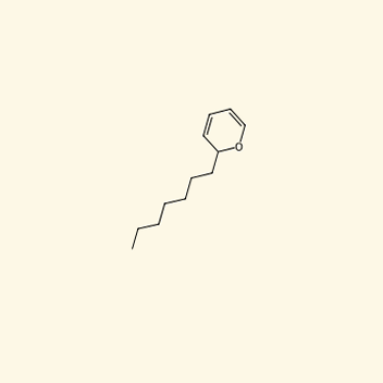 CCCCCCCC1C=CC=CO1